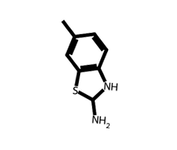 Cc1ccc2c(c1)SC(N)N2